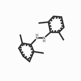 Cc1cccc(C)c1NNc1c(C)cccc1C